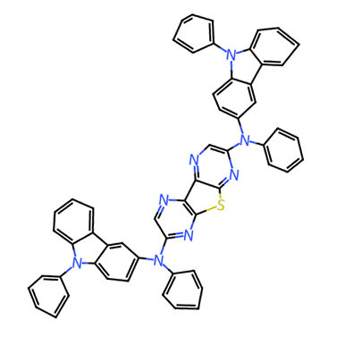 c1ccc(N(c2ccc3c(c2)c2ccccc2n3-c2ccccc2)c2cnc3c(n2)sc2nc(N(c4ccccc4)c4ccc5c(c4)c4ccccc4n5-c4ccccc4)cnc23)cc1